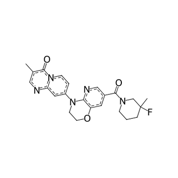 Cc1cnc2cc(N3CCOc4cc(C(=O)N5CCCC(C)(F)C5)cnc43)ccn2c1=O